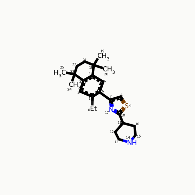 CCc1cc2c(cc1-c1csc(C3CCNCC3)n1)C(C)(C)CCC2(C)C